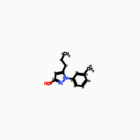 CCCc1cc(O)nn1-c1cccc(C)c1